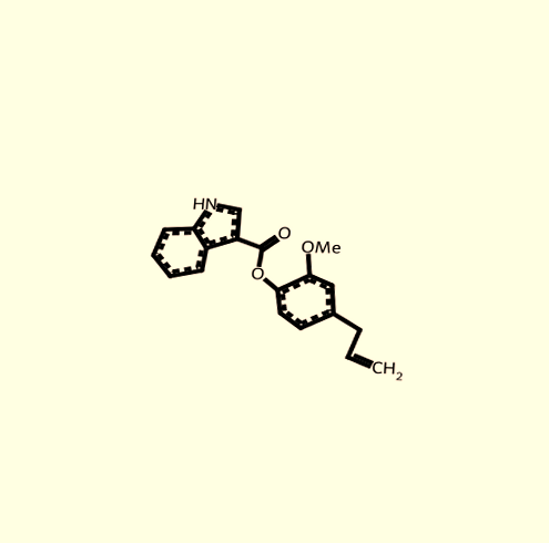 C=CCc1ccc(OC(=O)c2c[nH]c3ccccc23)c(OC)c1